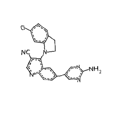 N#Cc1cnc2ccc(-c3cnc(N)nc3)cc2c1N1CCc2ccc(Cl)cc21